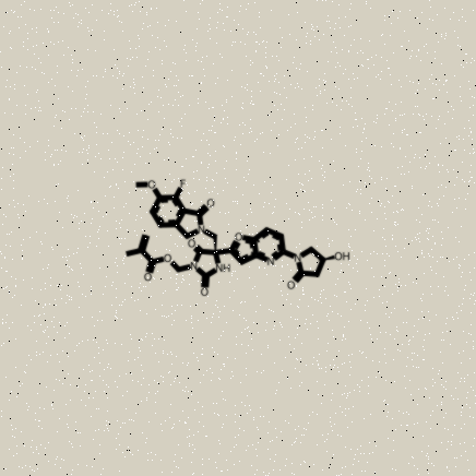 C=C(C)C(=O)OCN1C(=O)N[C@@](CN2Cc3ccc(OC)c(F)c3C2=O)(c2cc3nc(N4C[C@@H](O)CC4=O)ccc3o2)C1=O